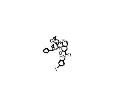 N#Cc1ccc(CNC(=O)c2cc3ccnc4c3n(c2=O)C(COCc2ccccc2)CN4CC2(S(=O)(=O)C3CC3)CC2)cc1